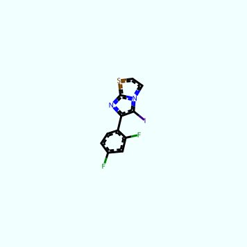 Fc1ccc(-c2nc3sccn3c2I)c(F)c1